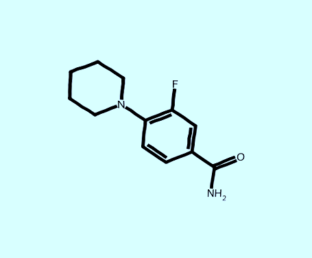 NC(=O)c1ccc(N2CCCCC2)c(F)c1